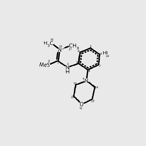 CSC(Nc1ccccc1N1CCOCC1)=[N+](C)C.I